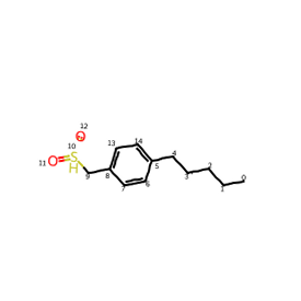 CCC[CH]Cc1ccc(C[SH](=O)=O)cc1